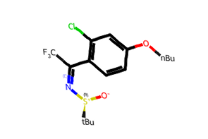 CCCCOc1ccc(/C(=N\[S@@+]([O-])C(C)(C)C)C(F)(F)F)c(Cl)c1